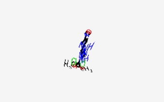 COc1cc(OC)c(Cl)c(CNc2cnc3[nH]c(-c4ccc(CN5CCOCC5)cn4)cc3n2)c1Cl